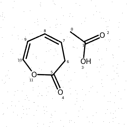 CC(=O)O.O=C1CC=CC=CO1